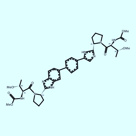 COC(=O)N[C@H](C(=O)N1CCC[C@H]1c1ncc(-c2ccc(-c3ccc4nc([C@@H]5CCCN5C(=O)[C@@H](NC(=O)OC)[C@@H](C)OC)[nH]c4c3)cc2)[nH]1)[C@@H](C)OC